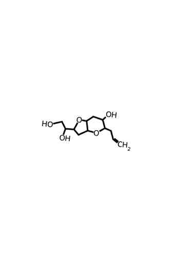 C=CCC1OC2CC(C(O)CO)OC2CC1O